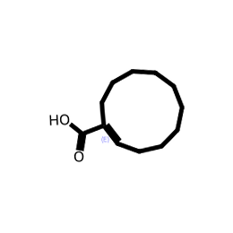 O=C(O)/C1=C/CCCCCCCCC1